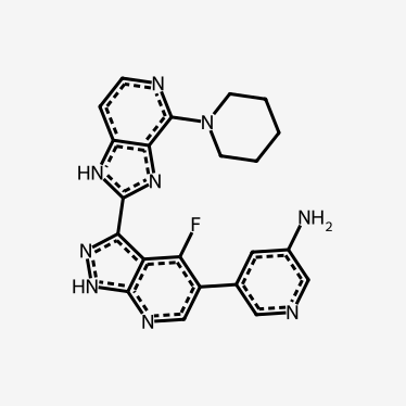 Nc1cncc(-c2cnc3[nH]nc(-c4nc5c(N6CCCCC6)nccc5[nH]4)c3c2F)c1